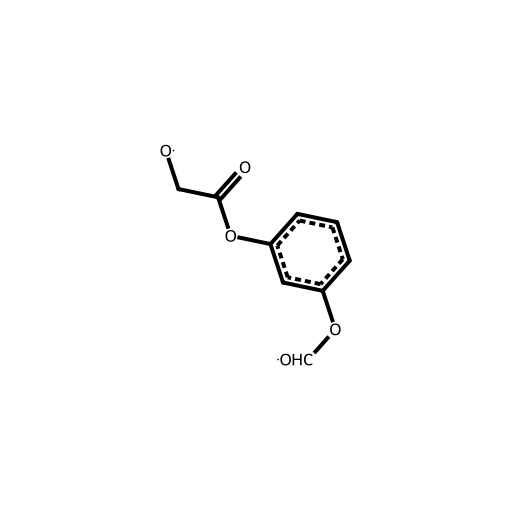 [O]CC(=O)Oc1cccc(O[C]=O)c1